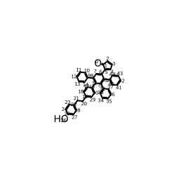 O=C1C=CC=C1c1cc(-c2ccccc2)c(-c2ccc(CCc3ccc(O)cc3)cc2)c(-c2ccccc2)c1-c1ccccc1